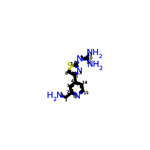 NCc1cc(-c2csc(N=C(N)N)n2)ccn1